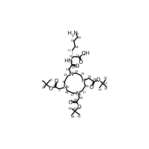 CC(C)(C)OC(=O)CN1CCN(CC(=O)N[C@H](CCCCN)C(=O)O)CCN(CC(=O)OC(C)(C)C)CCN(CC(=O)OC(C)(C)C)CC1